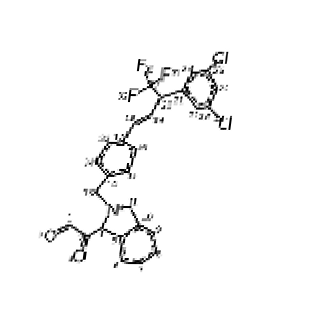 O=CC(=O)C1c2ccccc2CN1Cc1ccc(C=CC(c2cc(Cl)cc(Cl)c2)C(F)(F)F)cc1